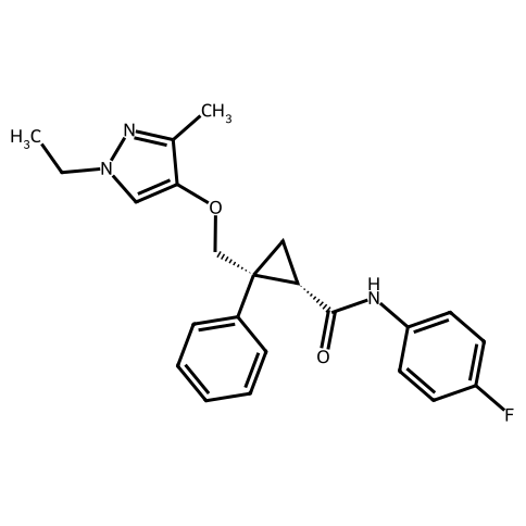 CCn1cc(OC[C@]2(c3ccccc3)C[C@@H]2C(=O)Nc2ccc(F)cc2)c(C)n1